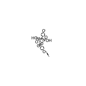 CC#CCOc1ccc(S(=O)(=O)CC2(C(=O)NO)CCN(C(=O)O)C(c3ccc(OC)cc3)C2)cc1